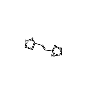 C(=C\c1ccns1)/c1nnc[nH]1